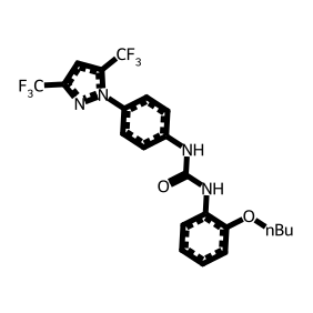 CCCCOc1ccccc1NC(=O)Nc1ccc(-n2nc(C(F)(F)F)cc2C(F)(F)F)cc1